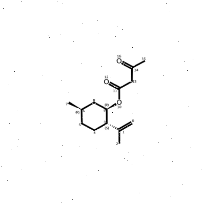 C=C(C)[C@@H]1CC[C@@H](C)C[C@H]1OC(=O)CC(C)=O